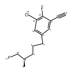 C#Cc1cc(CCC[C@@H](C)CF)cc(Cl)c1F